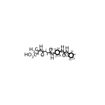 CC(CC(=O)O)NC(=O)CCC(=O)Nc1ccc(NC(=O)Nc2ccccc2)cc1